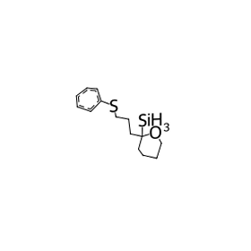 [SiH3]C1(CCCSc2ccccc2)CCCCO1